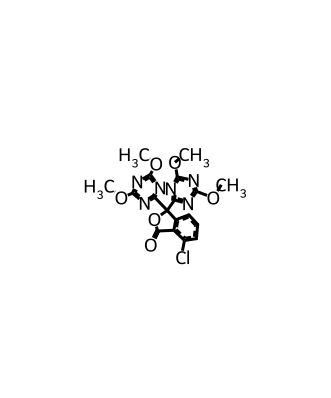 COc1nc(OC)nc(C2(c3nc(OC)nc(OC)n3)OC(=O)c3c(Cl)cccc32)n1